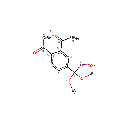 CCOC(OCC)(P=O)c1ccc(C(=O)OC)c(C(=O)OC)c1